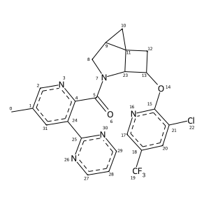 Cc1cnc(C(=O)N2CC3CC34CC(Oc3ncc(C(F)(F)F)cc3Cl)C24)c(-c2ncccn2)c1